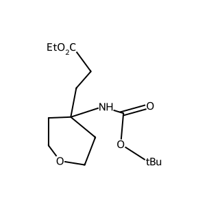 CCOC(=O)CCC1(NC(=O)OC(C)(C)C)CCOCC1